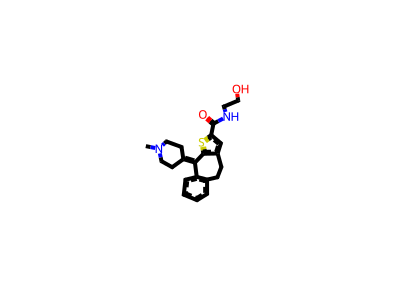 CN1CCC(=C2c3ccccc3CCc3cc(C(=O)NCCO)sc32)CC1